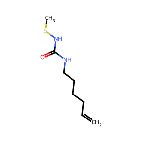 C=CCCCCNC(=O)NSC